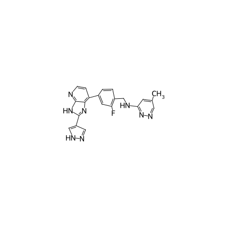 Cc1cnnc(NCc2ccc(-c3ccnc4[nH]c(-c5cn[nH]c5)nc34)cc2F)c1